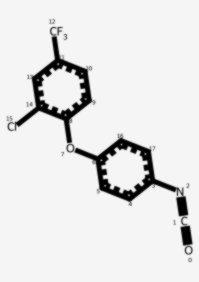 O=C=Nc1ccc(Oc2ccc(C(F)(F)F)cc2Cl)cc1